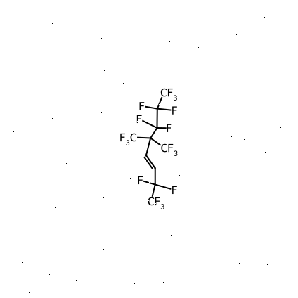 FC(F)(F)C(F)(F)C=CC(C(F)(F)F)(C(F)(F)F)C(F)(F)C(F)(F)C(F)(F)F